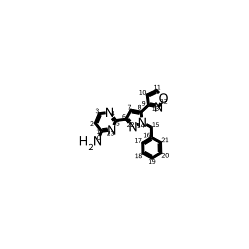 Nc1ccnc(-c2cc(-c3ccon3)n(Cc3ccccc3)n2)n1